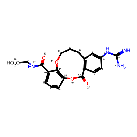 N=C(N)Nc1ccc2c(c1)CCCOc1c(cccc1C(=O)NCC(=O)O)OC2=O